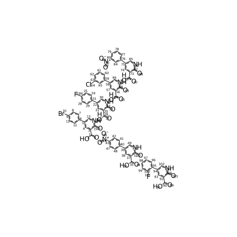 O=C(O)c1cc(-c2ccc(Br)cc2)c[nH]c1=O.O=C(O)c1cc(-c2ccc(F)cc2)c[nH]c1=O.O=C(O)c1cc(-c2ccc([N+](=O)[O-])cc2)c[nH]c1=O.O=C(O)c1cc(-c2cccc(Cl)c2)c[nH]c1=O.O=C(O)c1cc(-c2cccc([N+](=O)[O-])c2)c[nH]c1=O.O=C(O)c1cc(-c2ccccc2F)c[nH]c1=O